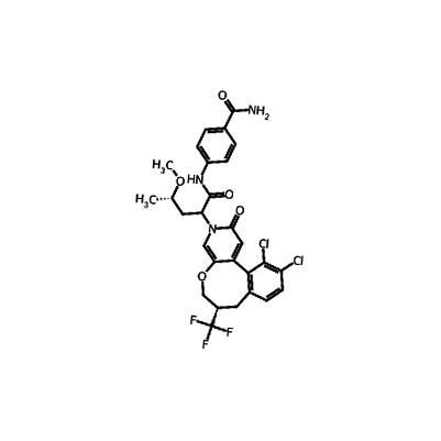 CO[C@@H](C)CC(C(=O)Nc1ccc(C(N)=O)cc1)n1cc2c(cc1=O)-c1c(ccc(Cl)c1Cl)C[C@@H](C(F)(F)F)CO2